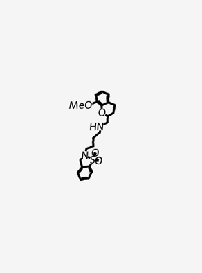 COc1cccc2c1OC(CNCCCCN1Cc3ccccc3S1(=O)=O)CC2